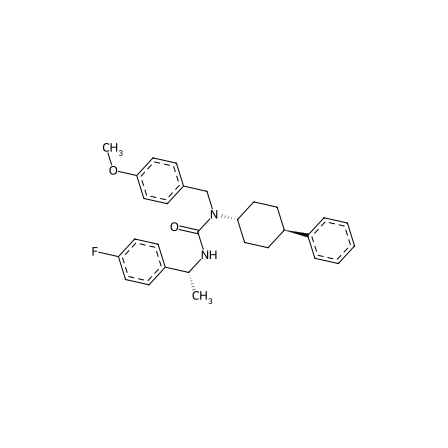 COc1ccc(CN(C(=O)N[C@H](C)c2ccc(F)cc2)[C@H]2CC[C@H](c3ccccc3)CC2)cc1